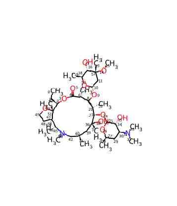 CC[C@H]1OC(=O)[C@H](C)C(O[C@H]2C[C@@](C)(OC)[C@@H](O)[C@H](C)O2)[C@H](C)[C@@H](O[C@@H]2O[C@H](C)C[C@H](N(C)C)[C@H]2O)[C@](C)(O)C[C@@H](C)CN(C)[C@H](C)[C@H]2CCO[C@@]21C